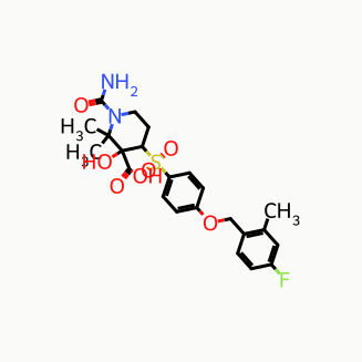 Cc1cc(F)ccc1COc1ccc(S(=O)(=O)C2CCN(C(N)=O)C(C)(C)C2(O)C(=O)O)cc1